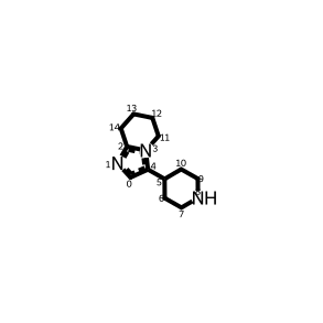 c1nc2n(c1C1CCNCC1)CCCC2